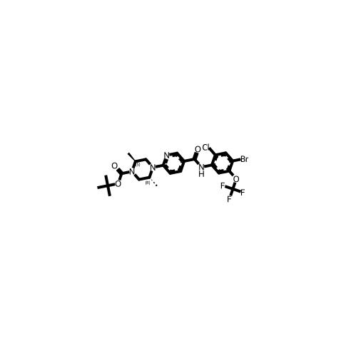 C[C@@H]1CN(C(=O)OC(C)(C)C)[C@@H](C)CN1c1ccc(C(=O)Nc2cc(OC(F)(F)F)c(Br)cc2Cl)cn1